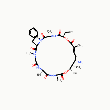 CCC(C)[C@@H]1NC(=O)CN(C)C(=O)[C@@H](Cc2ccccc2)N(C)C(=O)[C@H](C)NC(=O)[C@@H](CC(C)C)OC(=O)/C(C)=C/C[C@H](N)[C@H](C)[C@@H]([C@@H](C)CC)OC(=O)[C@@H](C)NC1=O